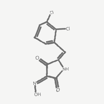 O=C1N/C(=C/c2cccc(Cl)c2Cl)C(=O)/C1=N/O